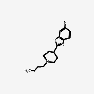 [CH2]CCCN1CCC(c2nc3ccc(F)cc3o2)CC1